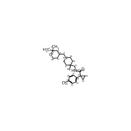 CC1(C)CC(CN2CCC(F)(CNC(=O)C3(c4ccc(Cl)cc4)CC3)CC2)CCO1